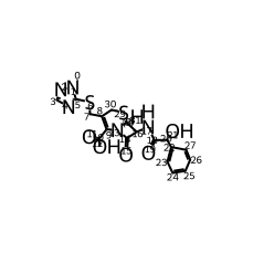 Cn1ncnc1SCC1=C(C(=O)O)N2C(=O)C(NC(=O)C(O)c3ccccc3)[C@@H]2SC1